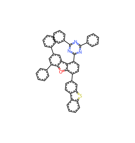 c1ccc(-c2cc(-c3ccccc3)c3oc4c(-c5ccc6c(c5)sc5ccccc56)ccc(-c5nc(-c6ccccc6)nc(-c6ccccc6)n5)c4c3c2)cc1